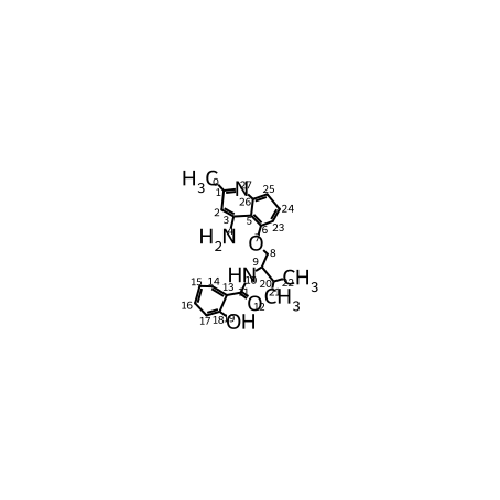 Cc1cc(N)c2c(OCC(NC(=O)c3ccccc3O)C(C)C)cccc2n1